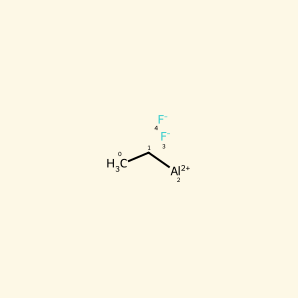 C[CH2][Al+2].[F-].[F-]